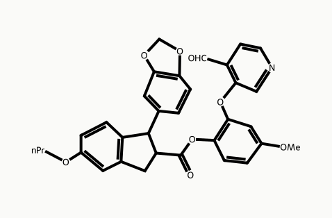 CCCOc1ccc2c(c1)CC(C(=O)Oc1ccc(OC)cc1Oc1cnccc1C=O)C2c1ccc2c(c1)OCO2